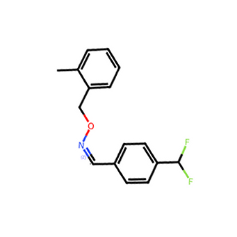 Cc1ccccc1CO/N=[C]\c1ccc(C(F)F)cc1